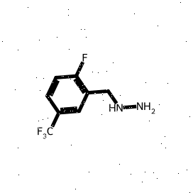 NNCc1cc(C(F)(F)F)ccc1F